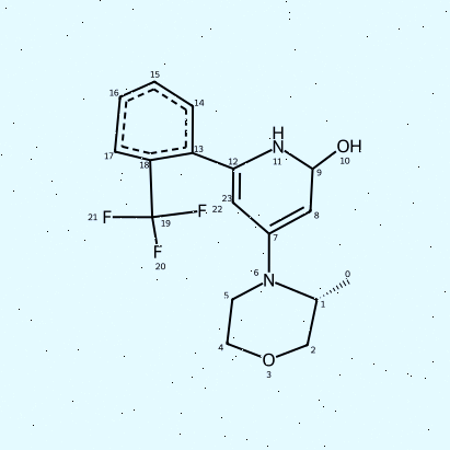 C[C@@H]1COCCN1C1=CC(O)NC(c2ccccc2C(F)(F)F)=C1